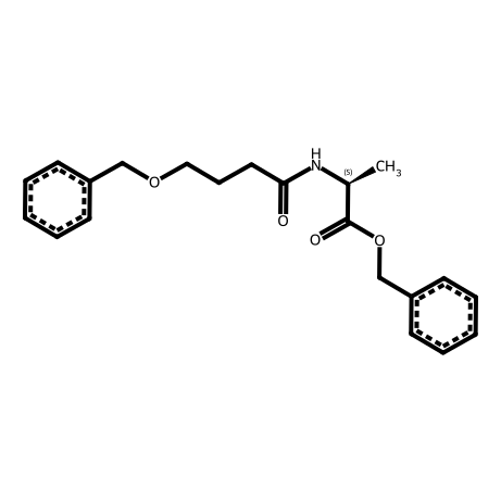 C[C@H](NC(=O)CCCOCc1ccccc1)C(=O)OCc1ccccc1